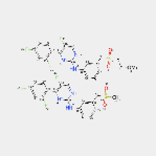 COCCS(=O)(=O)Cc1cccc(Nc2ncc(F)c(-c3ccc(F)cc3F)n2)c1.CS(=O)(=O)Cc1cccc(Nc2ncc(F)c(-c3ccc(F)cc3F)n2)c1